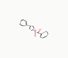 O=C(c1ccccc1)[PH](=O)c1ccc(-c2ccccc2)cc1